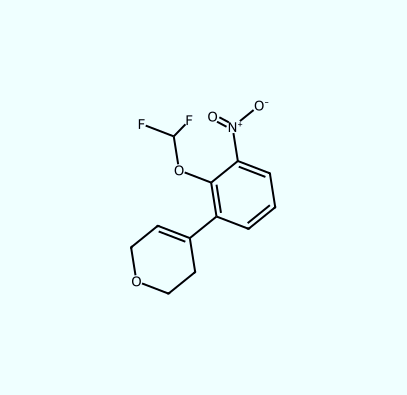 O=[N+]([O-])c1cccc(C2=CCOCC2)c1OC(F)F